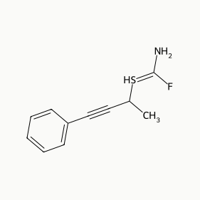 CC(C#Cc1ccccc1)[SH]=C(N)F